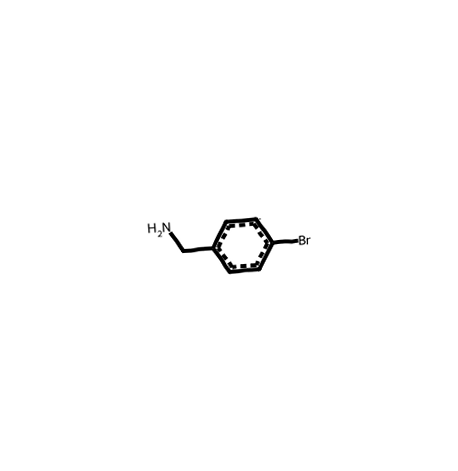 NCc1c[c]c(Br)cc1